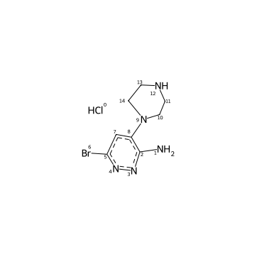 Cl.Nc1nnc(Br)cc1N1CCNCC1